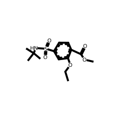 CCOc1cc(S(=O)(=O)NC(C)(C)C)ccc1C(=O)OC